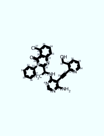 CC(Nc1ncnc(N)c1C#Cc1ncccc1CO)c1nc2cccc(Cl)c2c(=O)n1-c1ccccc1